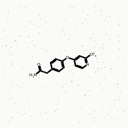 NC(=O)Cc1ccc(Oc2ccnc(C(F)(F)F)c2)cc1